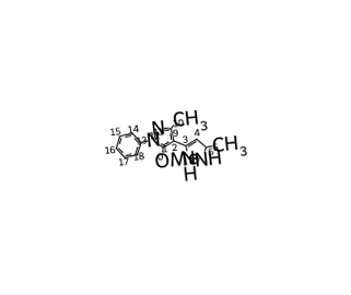 COc1c(C2=CC(C)NN2)c(C)nn1-c1ccccc1